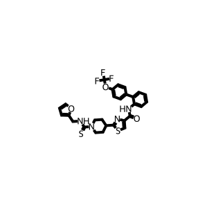 O=C(Nc1ccccc1-c1ccc(OC(F)(F)F)cc1)c1csc(C2CCN(C(=S)NCc3ccco3)CC2)n1